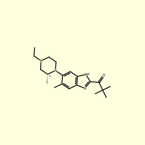 CCN1CCN(c2cc3[nH]c(C(=O)C(C)(C)C)nc3cc2C)[C@H](C)C1